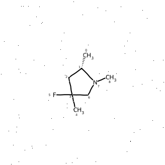 C[C@H]1CC(C)(F)CN1C